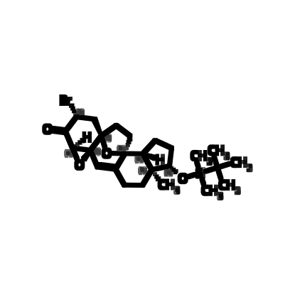 CC(C)(C)[Si](C)(C)O[C@H]1CC[C@@H]2[C@]1(C)CCC1=C[C@]34O[C@H]3C(=O)[C@H](Br)C[C@]43CC[C@@]12O3